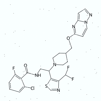 O=C(NCC(c1scnc1C(F)F)N1CCC(COc2ccn3nccc3n2)CC1)c1c(F)cccc1Cl